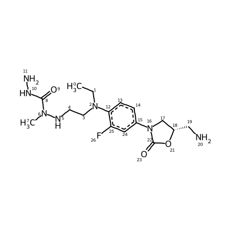 CCN(CCNN(C)C(=O)NN)c1ccc(N2C[C@H](CN)OC2=O)cc1F